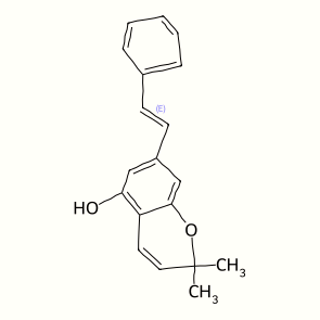 CC1(C)C=Cc2c(O)cc(/C=C/c3ccccc3)cc2O1